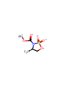 CC(C)(C)OC(=O)N1C(C(F)(F)F)COS1(=O)=O